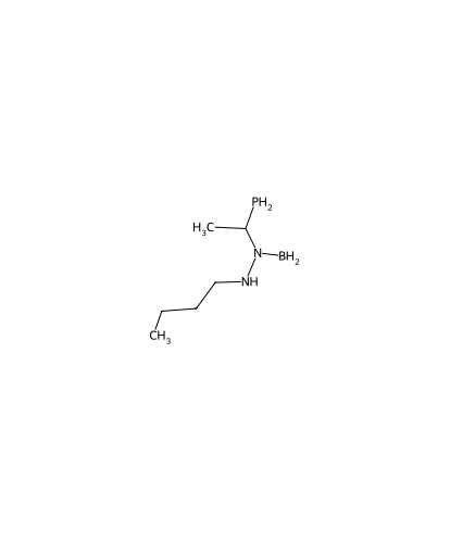 BN(NCCCC)C(C)P